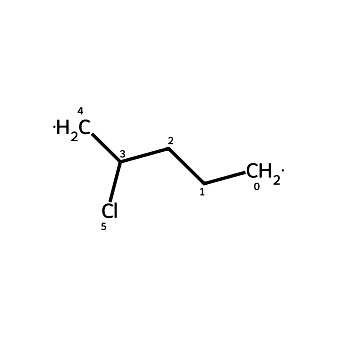 [CH2]CCC([CH2])Cl